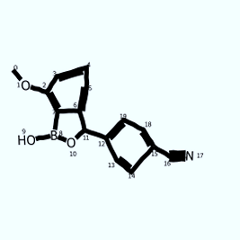 COc1cccc2c1B(O)OC2c1ccc(C#N)cc1